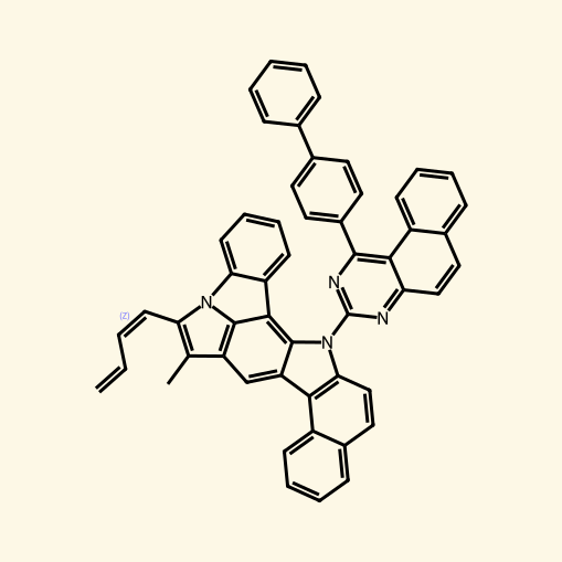 C=C/C=C\c1c(C)c2cc3c4c5ccccc5ccc4n(-c4nc(-c5ccc(-c6ccccc6)cc5)c5c(ccc6ccccc65)n4)c3c3c4ccccc4n1c23